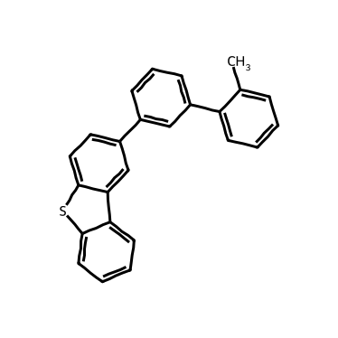 Cc1ccccc1-c1cccc(-c2ccc3sc4ccccc4c3c2)c1